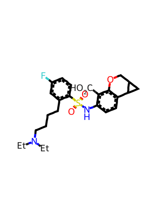 CCN(CC)CCCCc1cc(F)ccc1S(=O)(=O)Nc1ccc2c(c1C(=O)O)OCC1CC21